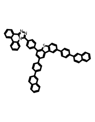 c1ccc2cc(-c3ccc(-c4ccc5sc6c(-c7ccc(-c8nnc9c%10ccccc%10c%10ccccc%10n89)cc7)cc(-c7ccc(-c8ccc9ccccc9c8)cc7)cc6c5c4)cc3)ccc2c1